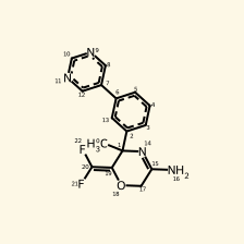 CC1(c2cccc(-c3cncnc3)c2)N=C(N)COC1=C(F)F